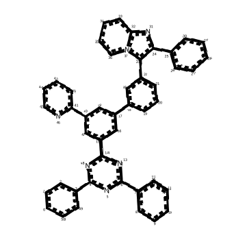 c1ccc(-c2nc(-c3ccccc3)nc(-c3cc(-c4cccc(-c5c(-c6ccccc6)nc6ccccn56)c4)cc(-c4ccccn4)c3)n2)cc1